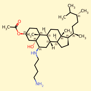 CC(=O)O[C@H]1CC[C@]2(C)[C@H]3CC[C@]4(C)[C@@H]([C@H](C)CC[C@@H](C)C(C)C)CC[C@H]4[C@@H]3C[C@@H](NCCCCN)[C@@]2(O)C1